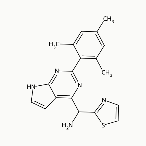 Cc1cc(C)c(-c2nc(C(N)c3nccs3)c3cc[nH]c3n2)c(C)c1